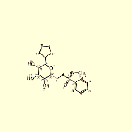 CN=S(=O)(CC[C@H]1OC(C2CCCC2)[C@@H](O)[C@@H](O)[C@@H]1O)c1ccccc1